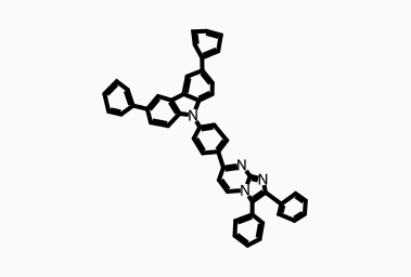 c1ccc(-c2ccc3c(c2)c2cc(-c4ccccc4)ccc2n3-c2ccc(-c3ccn4c(-c5ccccc5)c(-c5ccccc5)nc4n3)cc2)cc1